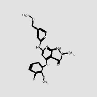 COCc1ccnc(Nc2cc(Nc3cccc(F)c3OC)c3c(=O)n(C)[nH]c3n2)c1